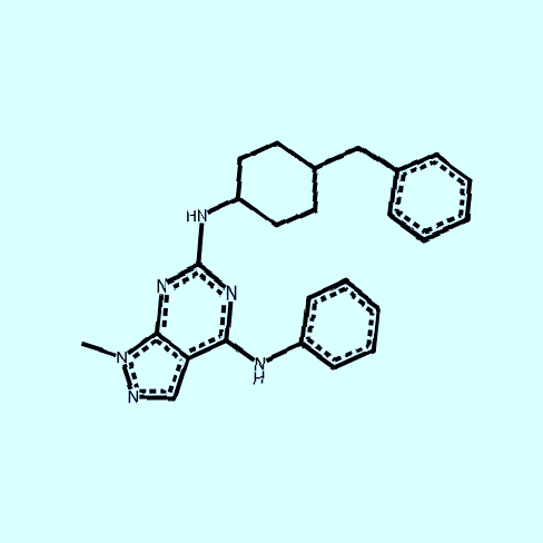 Cn1ncc2c(Nc3ccccc3)nc(NC3CCC(Cc4ccccc4)CC3)nc21